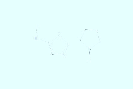 CBc1cnc([C@@H]2CCCN2C)[nH]1